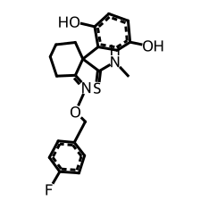 CNC(=S)C1(c2cc(O)ccc2O)CCCCC1=NOCc1ccc(F)cc1